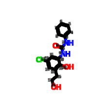 O=C(Nc1ccccc1)Nc1cc(Cl)cc(CCO)c1O